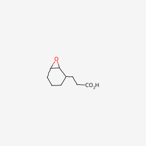 O=C(O)CCC1CCCC2OC12